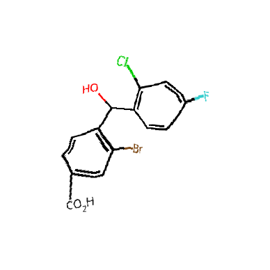 O=C(O)c1ccc(C(O)c2ccc(F)cc2Cl)c(Br)c1